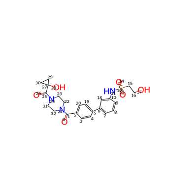 O=C(c1ccc(-c2cccc(NS(=O)(=O)CCO)c2)cc1)N1CCN(C(=O)C2(O)CC2)CC1